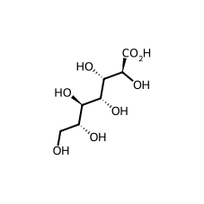 O=C(O)[C@@H](O)[C@@H](O)[C@H](O)[C@H](O)[C@H](O)CO